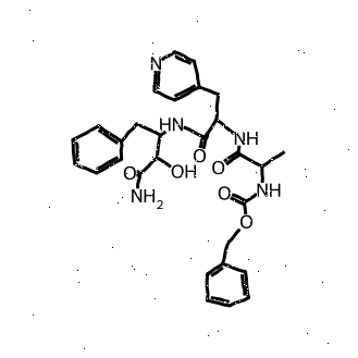 CC(NC(=O)OCc1ccccc1)C(=O)NC(Cc1ccncc1)C(=O)NC(Cc1ccccc1)C(O)C(N)=O